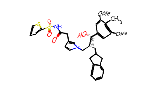 COc1cc([C@@H](O)[C@H](CC2Cc3ccccc3C2)Cn2ccc(CC(=O)NS(=O)(=O)c3cccs3)c2)cc(OC)c1C